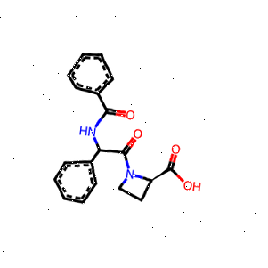 O=C(NC(C(=O)N1CC[C@@H]1C(=O)O)c1ccccc1)c1ccccc1